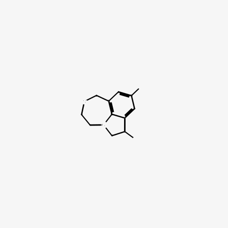 Cc1cc2c3c(c1)C(C)CN3CCNC2